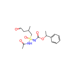 CC(=O)NS(=O)(CC(C)CC=O)=NC(=O)OC(C)c1ccccc1